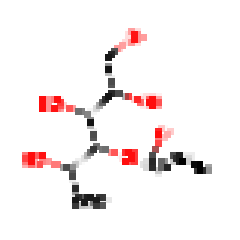 O=C([O-])C(O)C(O)C(O)C(O)CO.O=[N+]([O-])[O-].[Na+].[Na+]